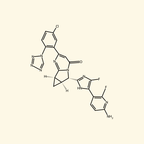 Nc1ccc(-c2[nH]c([C@@H]3[C@H]4C[C@H]4c4nc(-c5cc(Cl)ccc5-n5cnnn5)cc(=O)n43)nc2F)c(F)n1